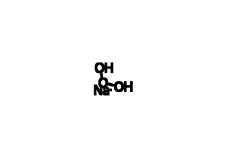 OOO.[Na]